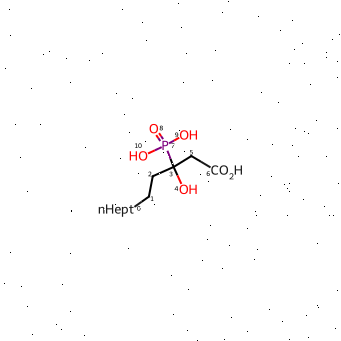 CCCCCCCCCC(O)(CC(=O)O)P(=O)(O)O